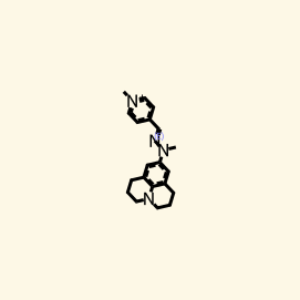 CN(/N=C/c1cc[n+](C)cc1)c1cc2c3c(c1)CCCN3CCC2